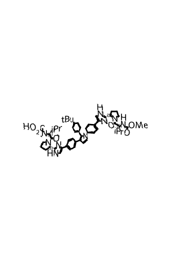 COC(=O)N[C@H](C(=O)N1CCC[C@H]1c1nc(-c2ccc(-n3ccc(-c4ccc(-c5c[nH]c([C@@H]6CCCN6C(=O)[C@H](C(C)C)N(C)C(=O)O)n5)cc4)c3-c3ccc(C(C)(C)C)cc3)cc2)c[nH]1)C(C)C